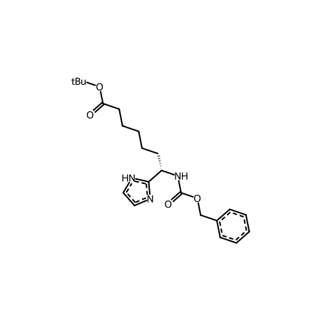 CC(C)(C)OC(=O)CCCCC[C@H](NC(=O)OCc1ccccc1)c1ncc[nH]1